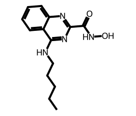 CCCCCNc1nc(C(=O)NO)nc2ccccc12